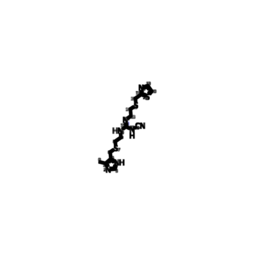 Cc1nc[nH]c1CSCCN/C(=N/CCSCc1nccs1)NC#N